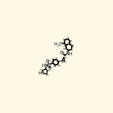 Cc1cccc2ccc(NC(=O)[C@@H]3C[C@H]3c3ccc(S(=O)(=O)NC4CCNC4)cc3)cc12